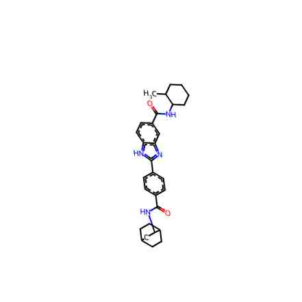 CC1CCCCC1NC(=O)c1ccc2[nH]c(-c3ccc(C(=O)NC4CC5CCC4CC5)cc3)nc2c1